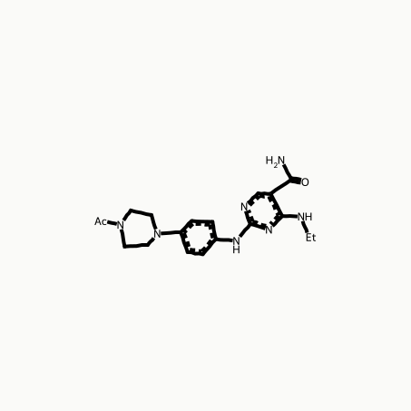 CCNc1nc(Nc2ccc(N3CCN(C(C)=O)CC3)cc2)ncc1C(N)=O